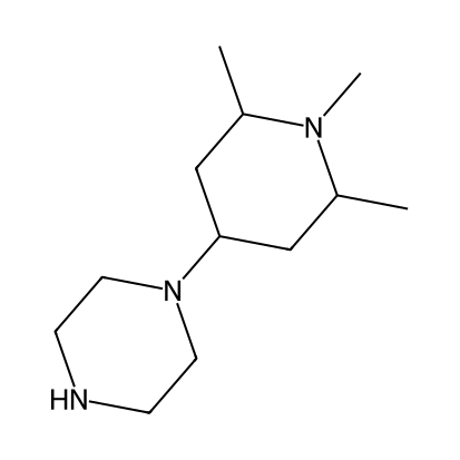 CC1CC(N2CCNCC2)CC(C)N1C